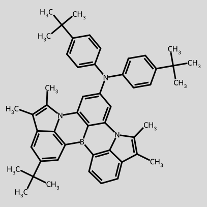 Cc1c(C)n2c3c(cccc13)B1c3c-2cc(N(c2ccc(C(C)(C)C)cc2)c2ccc(C(C)(C)C)cc2)cc3-n2c(C)c(C)c3cc(C(C)(C)C)cc1c32